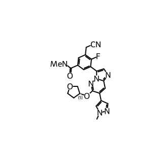 CNC(=O)c1cc(CC#N)c(F)c(-c2cnc3cc(-c4cnn(C)c4)c(O[C@H]4CCOC4)nn23)c1